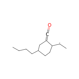 C[CH]C1CCC(CCCC)CC1=C=O